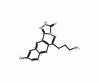 NCCCc1cn2c(=O)[nH]nc2c2cc3cc(Cl)ccc3cc12